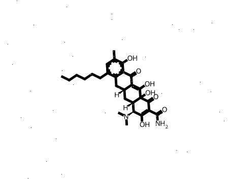 CCCCCCc1cc(C)c(O)c2c1C[C@H]1C[C@H]3[C@H](N(C)C)C(O)=C(C(N)=O)C(=O)C3(O)C(O)=C1C2=O